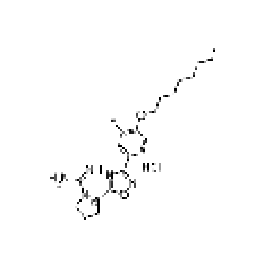 CCCCCCCCOc1ccc(-c2noc([C@@H]3CCCN3C(=N)N)n2)cc1F.Cl